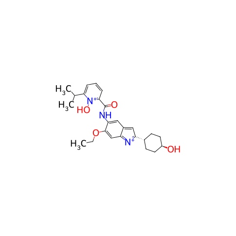 CCOc1cc2c(cc1NC(=O)c1cccc(C(C)C)[n+]1O)=CC([C@H]1CC[C@H](O)CC1)=[N+]=2